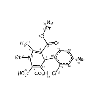 CCN1C(C)=C(C(=O)OC(C)C)C(c2ccccc2Cl)C(C(=O)O)=C1C(=O)O.[Na].[Na]